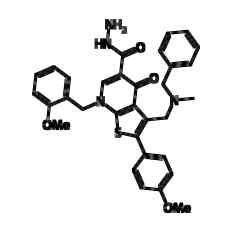 COc1ccc(-c2sc3c(c2CN(C)Cc2ccccc2)c(=O)c(C(=O)NN)cn3Cc2ccccc2OC)cc1